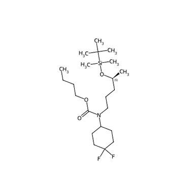 CCCCOC(=O)N(CCC[C@H](C)O[Si](C)(C)C(C)(C)C)C1CCC(F)(F)CC1